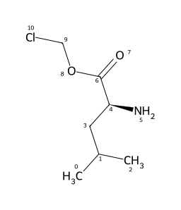 CC(C)C[C@H](N)C(=O)OCCl